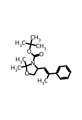 CC(=CC1COC(C)(C)N1C(=O)OC(C)(C)C)c1ccccc1